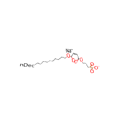 CCCCCCCCCCCCCCCCCCCCOC(=O)/C=C\C(=O)OCCCS(=O)(=O)[O-].[Na+]